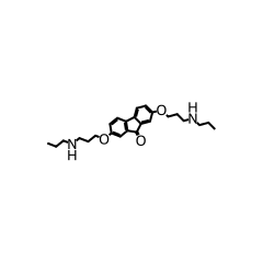 CCCNCCCOc1ccc2c(c1)C(=O)c1cc(OCCCNCCC)ccc1-2